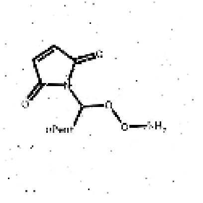 CCCCCC(OON)N1C(=O)C=CC1=O